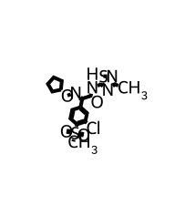 Cc1nsc(NC(=O)/C(=N/OC2CCCC2)c2ccc(S(C)(=O)=O)c(Cl)c2)n1